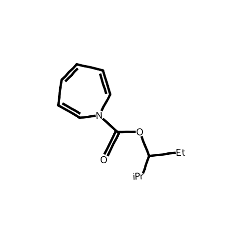 CCC(OC(=O)N1C=CC=CC=C1)C(C)C